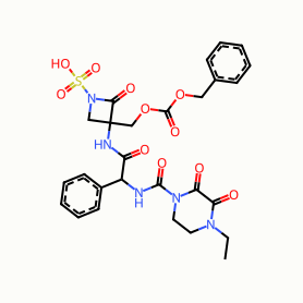 CCN1CCN(C(=O)NC(C(=O)NC2(COC(=O)OCc3ccccc3)CN(S(=O)(=O)O)C2=O)c2ccccc2)C(=O)C1=O